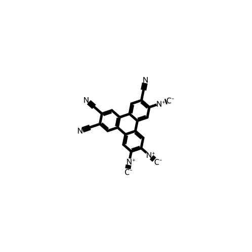 [C-]#[N+]c1cc2c(cc1C#N)c1cc(C#N)c(C#N)cc1c1cc([N+]#[C-])c([N+]#[C-])cc21